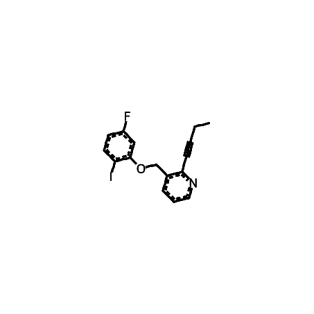 CCC#Cc1ncccc1COc1cc(F)ccc1I